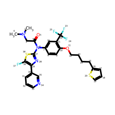 CN(C)CC(=O)N(c1ccc(OCCCCc2cccs2)c(C(F)(F)F)c1)c1nc(-c2cccnc2)c(F)s1